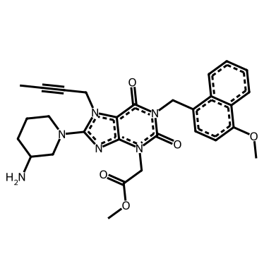 CC#CCn1c(N2CCCC(N)C2)nc2c1c(=O)n(Cc1ccc(OC)c3ccccc13)c(=O)n2CC(=O)OC